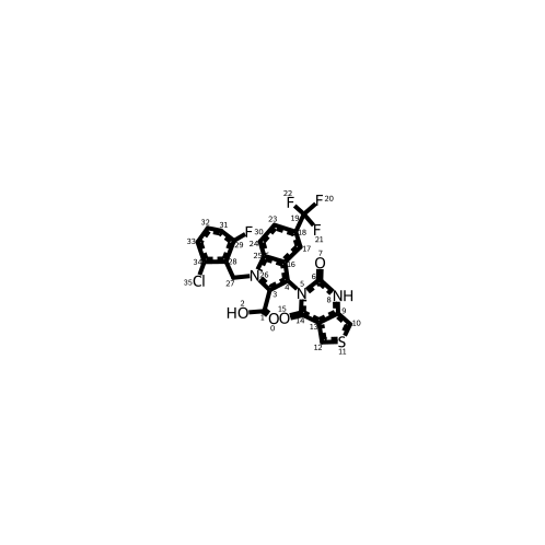 O=C(O)c1c(-n2c(=O)[nH]c3cscc3c2=O)c2cc(C(F)(F)F)ccc2n1Cc1c(F)cccc1Cl